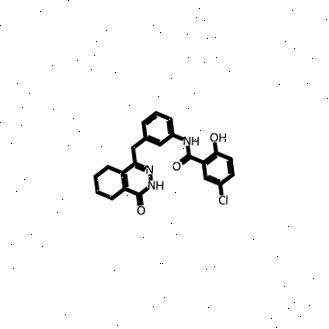 O=C(Nc1cccc(Cc2n[nH]c(=O)c3c2CCCC3)c1)c1cc(Cl)ccc1O